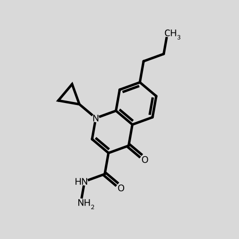 CCCc1ccc2c(=O)c(C(=O)NN)cn(C3CC3)c2c1